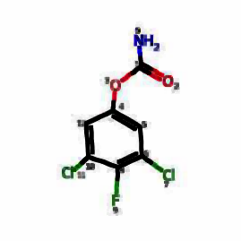 NC(=O)Oc1cc(Cl)c(F)c(Cl)c1